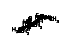 COCCN1CCC(Nc2cccc3c(CC(F)(F)F)c(C#CCNc4ccc(P(C)(=O)Cc5cc(NC6CCOCC6)c6sc(C#CCNc7ccc(P(C)(C)=O)cc7)c(CC(F)(F)F)c6c5)cc4)sc23)CC1